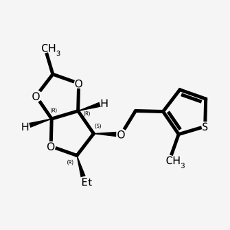 CC[C@H]1O[C@@H]2OC(C)O[C@@H]2[C@H]1OCc1ccsc1C